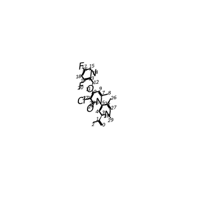 C=C(C)[C@H]1C=C(n2c(C)cc(OCc3ncc(F)cc3F)c(Cl)c2=O)C(C)=CN1C